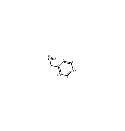 CCCCCc1ccn[c]n1